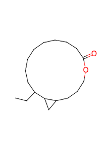 CCC1CCCCCCCCC(=O)OCCCC2CC12